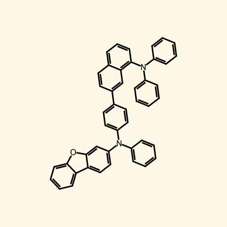 c1ccc(N(c2ccc(-c3ccc4cccc(N(c5ccccc5)c5ccccc5)c4c3)cc2)c2ccc3c(c2)oc2ccccc23)cc1